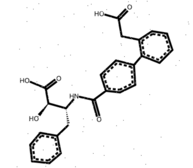 O=C(O)Cc1ccccc1-c1ccc(C(=O)N[C@H](Cc2ccccc2)[C@@H](O)C(=O)O)cc1